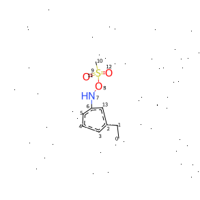 CCc1cccc(NOS(C)(=O)=O)c1